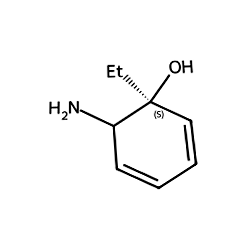 CC[C@]1(O)C=CC=CC1N